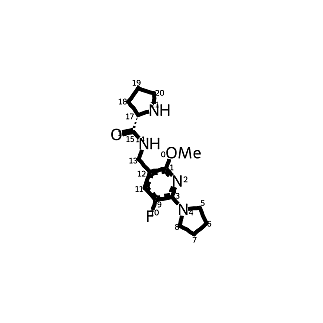 COc1nc(N2CCCC2)c(F)cc1CNC(=O)[C@@H]1CCCN1